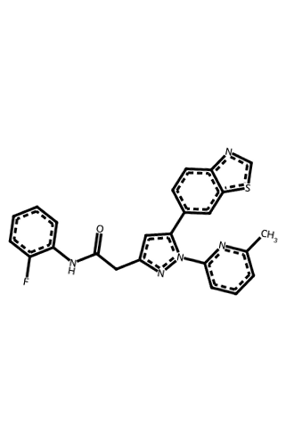 Cc1cccc(-n2nc(CC(=O)Nc3ccccc3F)cc2-c2ccc3ncsc3c2)n1